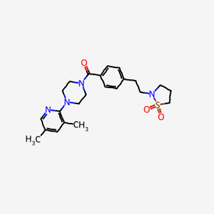 Cc1cnc(N2CCN(C(=O)c3ccc(CCN4CCCS4(=O)=O)cc3)CC2)c(C)c1